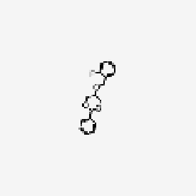 Fc1ccccc1COC1COC(c2ccccc2)OC1